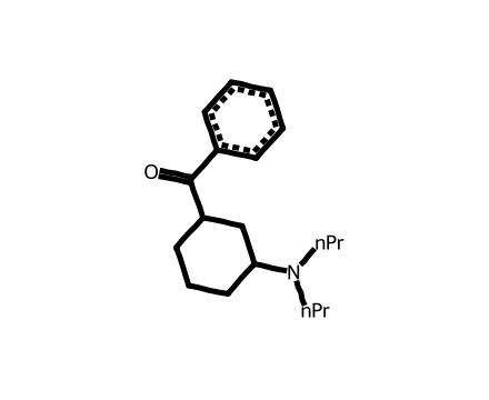 CCCN(CCC)C1CCCC(C(=O)c2ccccc2)C1